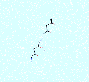 C=C(O)CC(O)CNCC(O)CC(O)CN